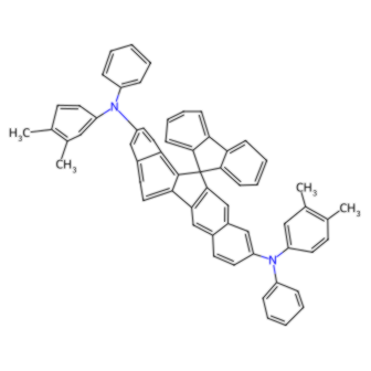 Cc1ccc(N(c2ccccc2)c2ccc3cc4c(cc3c2)C2(c3ccccc3-c3ccccc32)c2c-4ccc3cc(N(c4ccccc4)c4ccc(C)c(C)c4)ccc23)cc1C